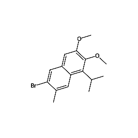 COc1cc2cc(Br)c(C)cc2c(C(C)C)c1OC